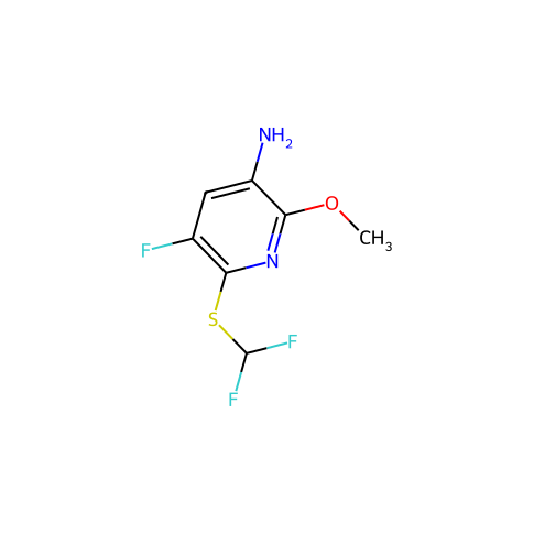 COc1nc(SC(F)F)c(F)cc1N